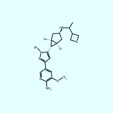 CC(N[C@H]1C[C@@H]2[C@H](C1)[C@H]2c1cc(-c2cnc(N)c(OC(F)(F)F)c2)nn1C(C)C)C1COC1